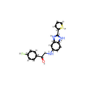 O=C(CNc1ccc2[nH]c(-c3cccs3)nc2c1)c1ccc(F)cc1